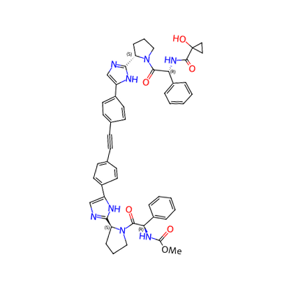 COC(=O)N[C@@H](C(=O)N1CCC[C@H]1c1ncc(-c2ccc(C#Cc3ccc(-c4cnc([C@@H]5CCCN5C(=O)[C@H](NC(=O)C5(O)CC5)c5ccccc5)[nH]4)cc3)cc2)[nH]1)c1ccccc1